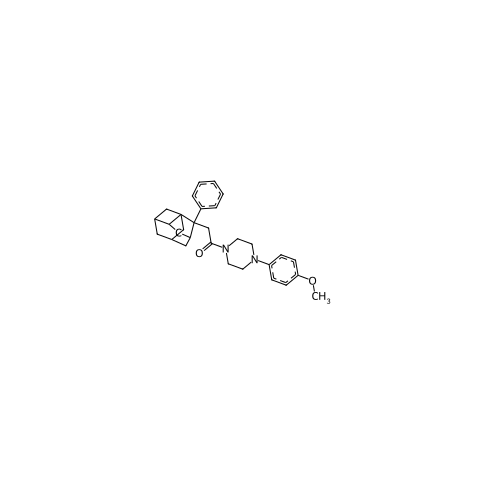 COc1ccc(N2CCN(C(=O)CC3(c4ccccc4)C4CC5CC6CC3(C5)C6C4)CC2)cc1